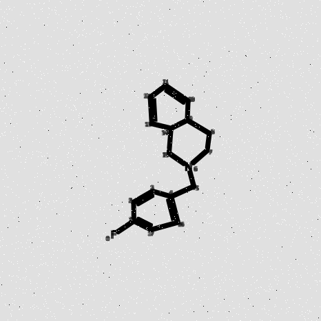 Fc1ccc([CH]N2CCC3C=CC=CC3C2)cc1